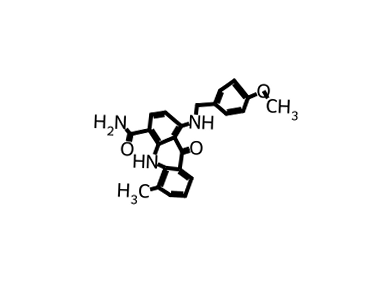 COc1ccc(CNc2ccc(C(N)=O)c3[nH]c4c(C)cccc4c(=O)c23)cc1